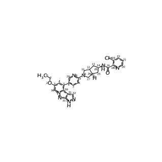 CCOc1cc(-c2ccc(N3CC4C[C@@H](NC(=O)c5ncccc5Cl)C[C@H]4C3)nc2)c2c3cn[nH]c3nn2c1